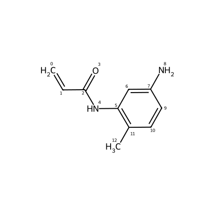 C=CC(=O)Nc1cc(N)ccc1C